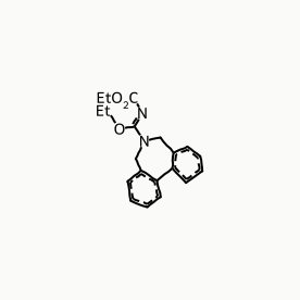 CCOC(=O)N=C(OCC)N1Cc2ccccc2-c2ccccc2C1